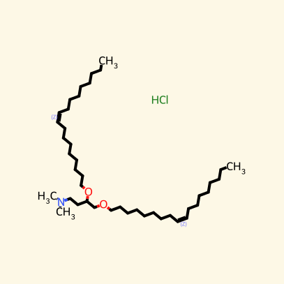 CCCCCCCC/C=C\CCCCCCCCOCC(CCN(C)C)OCCCCCCCC/C=C\CCCCCCCC.Cl